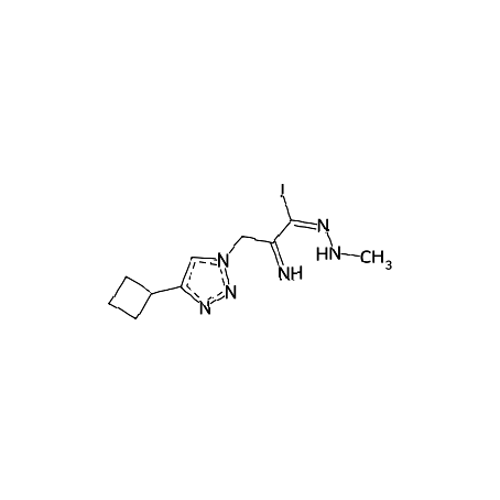 CN/N=C(/I)C(=N)Cn1cc(C2CCC2)nn1